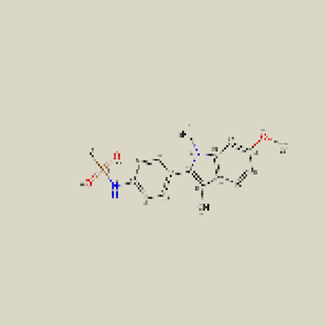 CCCn1c(-c2ccc(NS(C)(=O)=O)cc2)c(C#N)c2ccc(OCC)cc21